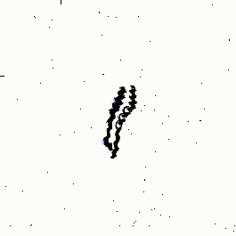 CC/C=C\CCCCCCCC/C=C/CCCC.CCCCCCCCOCOCOCCCCCCCC